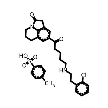 Cc1ccc(S(=O)(=O)O)cc1.O=C(CCCCNCCc1ccccc1Cl)c1cc2c3c(c1)CC(=O)N3CCC2